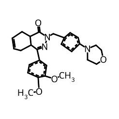 COc1ccc(C2=NN(Cc3ccc(N4CCOCC4)cc3)C(=O)C3CC=CCC23)cc1OC